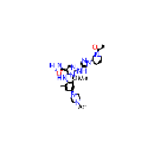 C=CC(=O)N1CCC[C@H](n2cc(Nc3ncc(C(N)=O)c(Nc4c(C)cc(N5CCN(C(C)=O)CC5)cc4OC)n3)cn2)C1